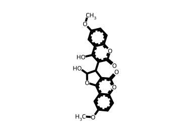 COc1ccc2oc(=O)c(C3c4c(c5cc(OC)ccc5oc4=O)OC3O)c(O)c2c1